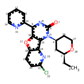 CC[C@H]1C[C@@H](n2c(=O)nc(-c3ccccn3)c3oc4ccc(Cl)nc4c32)CCO1